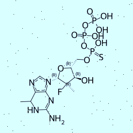 CC1NC(N)=Nc2c1ncn2[C@@H]1O[C@H](COP(O)(=S)OP(=O)(O)OP(=O)(O)O)[C@@H](O)[C@@]1(C)F